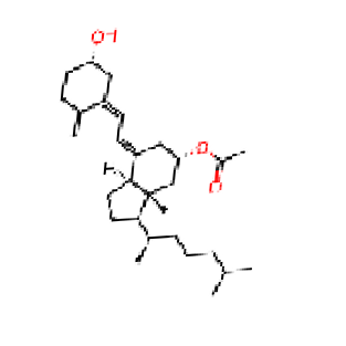 C=C1CC[C@H](O)C/C1=C/C=C1\C[C@H](OC(C)=O)C[C@]2(C)[C@@H]([C@H](C)CCCC(C)C)CC[C@@H]12